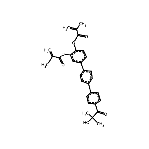 C=C(C)C(=O)Oc1ccc(-c2ccc(-c3ccc(C(=O)C(C)(C)O)cc3)cc2)cc1OC(=O)C(=C)C